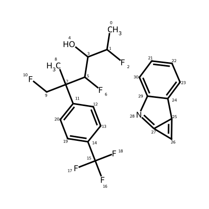 CC(F)C(O)C(F)C(C)(CF)c1ccc(C(F)(F)F)cc1.c1ccc2c3cc-3nc2c1